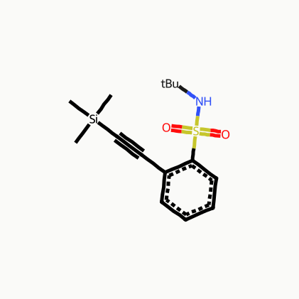 CC(C)(C)NS(=O)(=O)c1ccccc1C#C[Si](C)(C)C